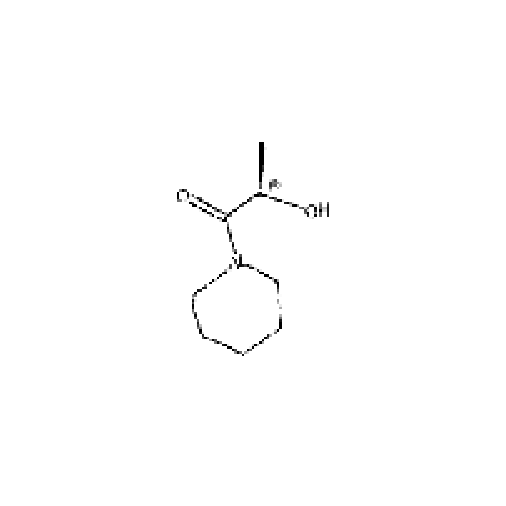 C[C@@H](O)C(=O)N1CC[CH]CC1